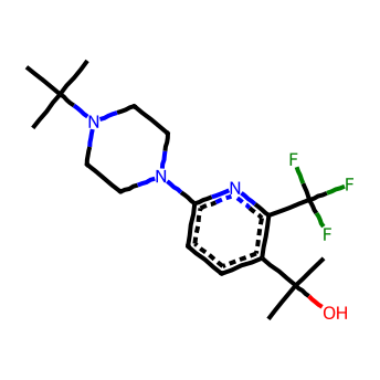 CC(C)(O)c1ccc(N2CCN(C(C)(C)C)CC2)nc1C(F)(F)F